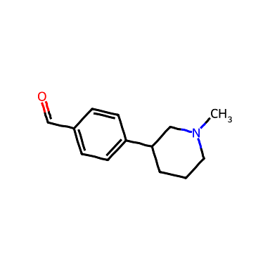 CN1CCCC(c2ccc(C=O)cc2)C1